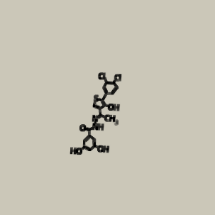 C/C(=N\NC(=O)c1cc(O)cc(O)c1)c1csc(-c2ccc(Cl)c(Cl)c2)c1O